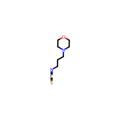 S=C=NCCCN1CCOCC1